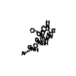 CN(C)C/C=C/C(=O)Nc1ccc(C(=O)N[C@@H]2C[C@H](Nc3ncc(Cl)c(-c4c[nH]c5ccccc45)n3)CN(C(=O)OCc3ccccc3)C2)cc1